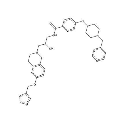 O=C(NCC(O)CN1CCc2cc(OCc3cnco3)ccc2C1)c1ccc(OC2CCN(Cc3ccncc3)CC2)cc1